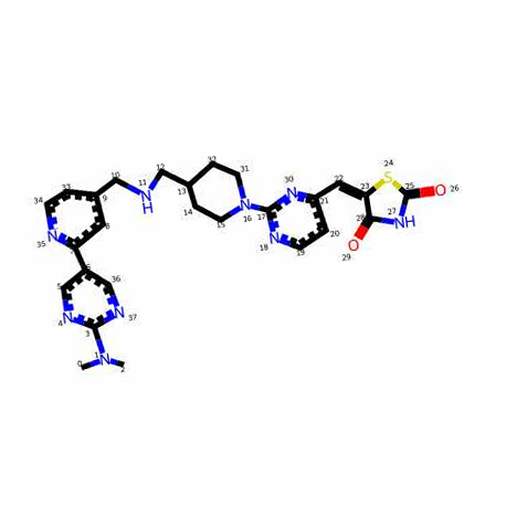 CN(C)c1ncc(-c2cc(CNCC3CCN(c4nccc(C=C5SC(=O)NC5=O)n4)CC3)ccn2)cn1